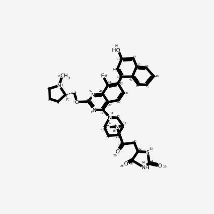 CN1CCC[C@H]1COc1nc(N2CC3CCC2CN3C(=O)CC2SC(=O)NC2=O)c2ccc(-c3cc(O)cc4ccccc34)c(F)c2n1